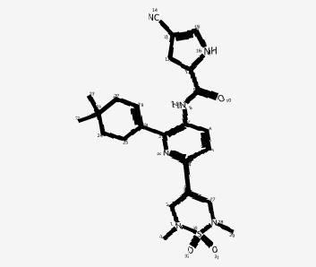 CN1CC(c2ccc(NC(=O)C3CC(C#N)=CN3)c(C3=CCC(C)(C)CC3)n2)CN(C)S1(=O)=O